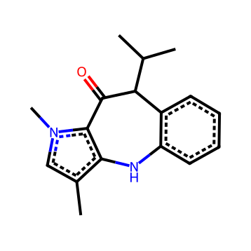 Cc1cn(C)c2c1Nc1ccccc1C(C(C)C)C2=O